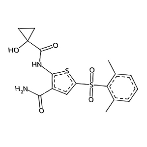 Cc1cccc(C)c1S(=O)(=O)c1cc(C(N)=O)c(NC(=O)C2(O)CC2)s1